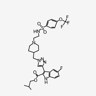 CC(C)COC(=O)c1[nH]c2ccc(F)cc2c1-c1cn(CC2CCN(CCNS(=O)(=O)c3ccc(OC(F)(F)F)cc3)CC2)nn1